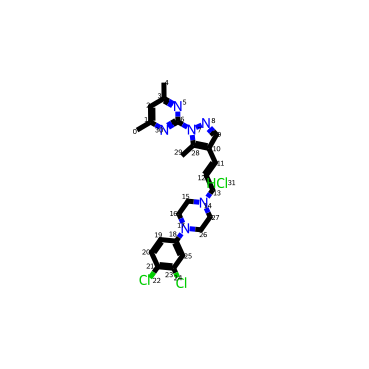 Cc1cc(C)nc(-n2ncc(C=CCN3CCN(c4ccc(Cl)c(Cl)c4)CC3)c2C)n1.Cl